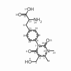 Cc1c(CO)c(=O)n(-c2ccc(CC(N)C(=O)O)cc2)c(=O)n1C